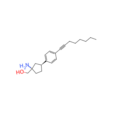 CCCCCCC#Cc1ccc([C@H]2CC[C@](N)(CO)C2)cc1